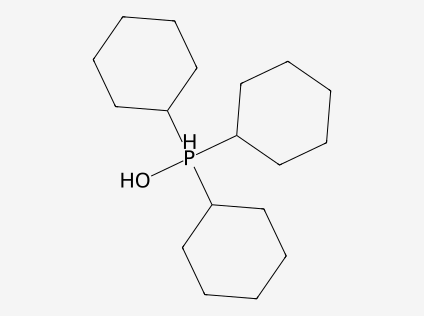 O[PH](C1CCCCC1)(C1CCCCC1)C1CCCCC1